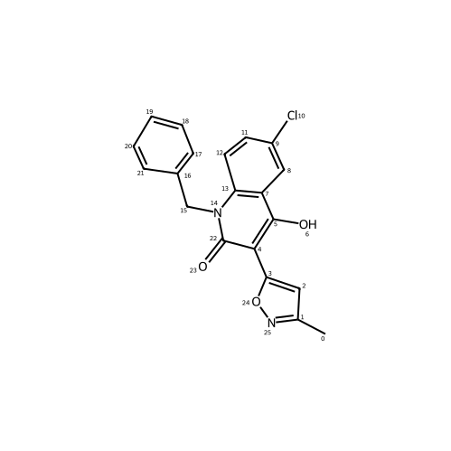 Cc1cc(-c2c(O)c3cc(Cl)ccc3n(Cc3ccccc3)c2=O)on1